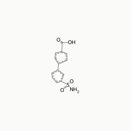 NS(=O)(=O)c1cccc(-c2ccc(C(=O)O)cc2)c1